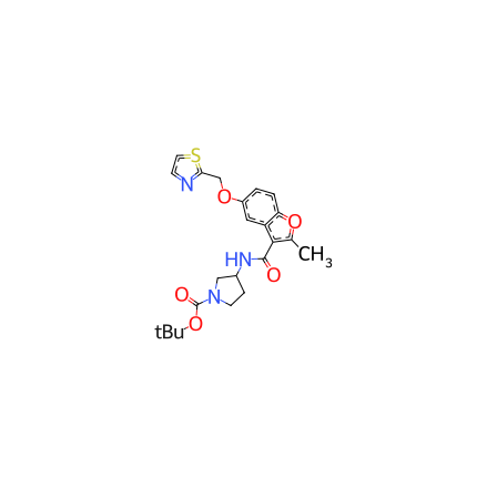 Cc1oc2ccc(OCc3nccs3)cc2c1C(=O)NC1CCN(C(=O)OC(C)(C)C)C1